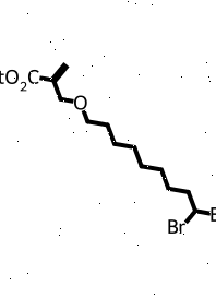 C=C(COCCCCCCCCC(Br)CC)C(=O)OCC